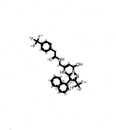 O=C(Cc1ccc(C(F)(F)F)cc1)NCC1=CC(O)n2nc(C(F)(F)F)c(-c3cccc4ccccc34)c2N1